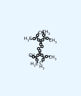 CCc1ccc(N(c2ccc(CC)cc2)c2ccc3c(c2)c2cc(N(c4ccc(CC)cc4)c4ccc(CC)cc4)ccc2n3-c2ccc3c(-c4cccc5cc(-n6c7ccc(N(c8ccc(CC)cc8)c8ccc(CC)cc8)cc7c7cc(N(c8ccc(CC)cc8)c8ccc(CC)cc8)ccc76)ccc45)cccc3c2)cc1